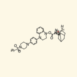 CC(C)S(=O)(=O)N1CCN(c2ccc(N3CCN(OC(=O)N[C@]45CC6CC(C4)[C@@H](O)[C@@H](C6)C5)c4ccccc43)cc2)CC1